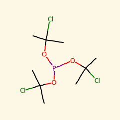 CC(C)(Cl)OP(OC(C)(C)Cl)OC(C)(C)Cl